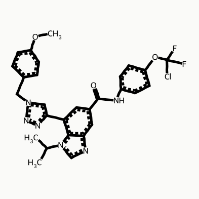 COc1ccc(Cn2cc(-c3cc(C(=O)Nc4ccc(OC(F)(F)Cl)cc4)cc4ncn(C(C)C)c34)nn2)cc1